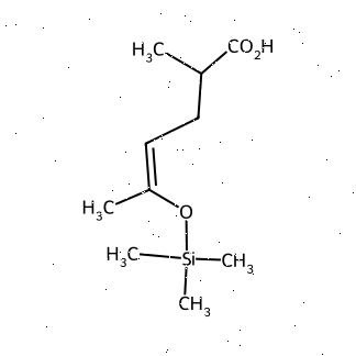 C/C(=C/CC(C)C(=O)O)O[Si](C)(C)C